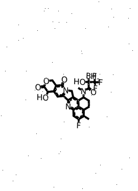 BC(O)(C(=O)N(C)C1CCc2c(C)c(F)cc3nc4c(c1c23)Cn1c-4cc2c(c1=O)COC(=O)C2O)C(F)(F)F